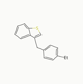 CCc1ccc(Cc2[c]sc3ccccc23)cc1